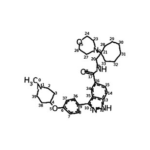 CN1CCC(Oc2ccc(-c3n[nH]c4ccc(C(=O)NCC5(N6CCOCC6)CCCCCC5)cc34)cc2)CC1